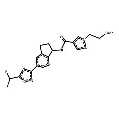 COCCn1cc(C(=O)NC2CCc3cc(-c4noc(C(F)F)n4)ccc32)cn1